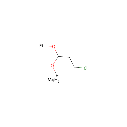 CCOC(CCCl)OCC.[MgH2]